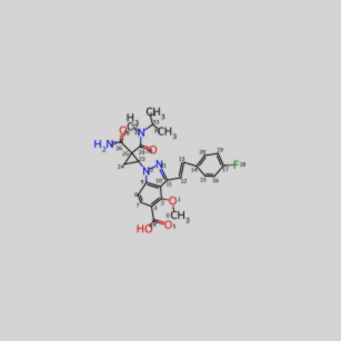 COc1c(C(=O)O)ccc2c1c(C=Cc1ccc(F)cc1)nn2C1CC1(C(N)=O)C(=O)N(C)C(C)C